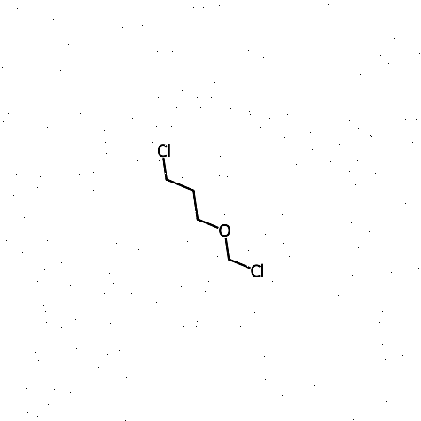 ClCCCOCCl